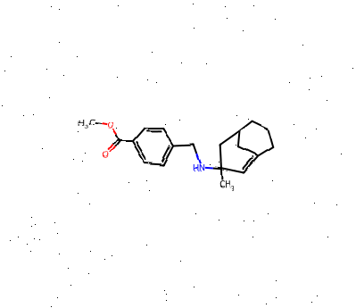 COC(=O)c1ccc(CNC2(C)C=C3CCCC(C3)C2)cc1